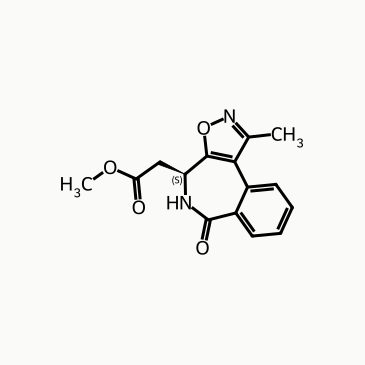 COC(=O)C[C@@H]1NC(=O)c2ccccc2-c2c(C)noc21